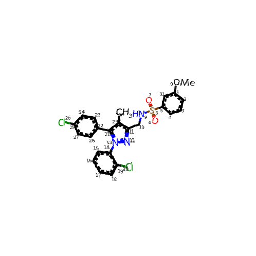 COc1cccc(S(=O)(=O)NCc2nn(-c3ccccc3Cl)c(-c3ccc(Cl)cc3)c2C)c1